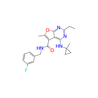 CCc1nc(NC2(C)CC2)c2c(C(=O)NCc3cccc(F)c3)c(C)oc2n1